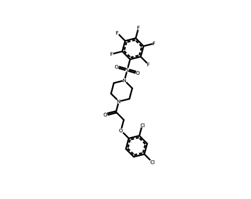 O=C(COc1ccc(Cl)cc1Cl)N1CCN(S(=O)(=O)c2c(F)c(F)c(F)c(F)c2F)CC1